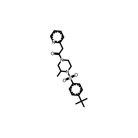 CC1CN(C(=O)Cc2ccccn2)CCN1S(=O)(=O)c1ccc(C(C)(C)C)cc1